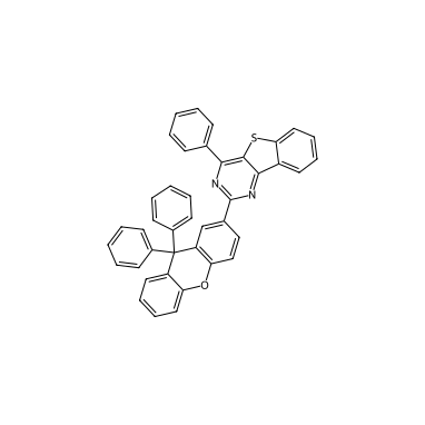 c1ccc(-c2nc(-c3ccc4c(c3)C(c3ccccc3)(c3ccccc3)c3ccccc3O4)nc3c2sc2ccccc23)cc1